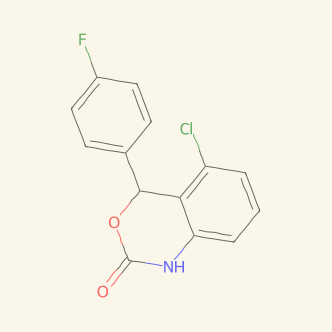 O=C1Nc2cccc(Cl)c2C(c2ccc(F)cc2)O1